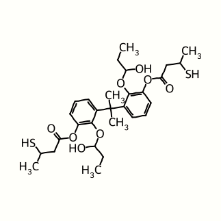 CCC(O)Oc1c(OC(=O)CC(C)S)cccc1C(C)(C)c1cccc(OC(=O)CC(C)S)c1OC(O)CC